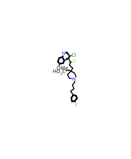 COc1ccc2ncc(Cl)c([C@H](F)CCC3(CC(=O)O)CCN(CCCCc4ccc(F)cc4)CC3)c2c1